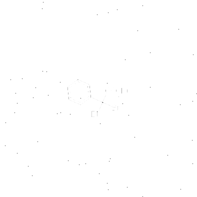 CCOC(=O)C(Br)(CC)c1ccccc1